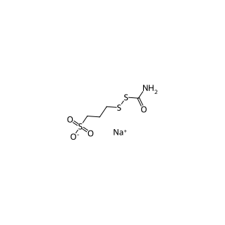 NC(=O)SSCCCS(=O)(=O)[O-].[Na+]